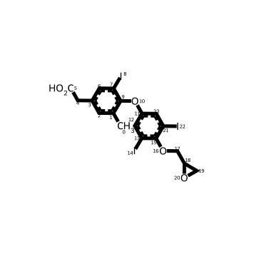 Cc1cc(CC(=O)O)cc(I)c1Oc1cc(I)c(OCC2CO2)c(I)c1